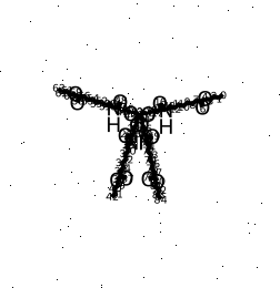 CCCCOC(=O)CCCCCCCNC(=O)CCOCC(COCCC(=O)NCCCCCCCC(=O)OCCCC)(COCCC(=O)NCCCCCCCC(=O)OCCCC)COCCC(=O)NCCCCCCCC(=O)OCCCC